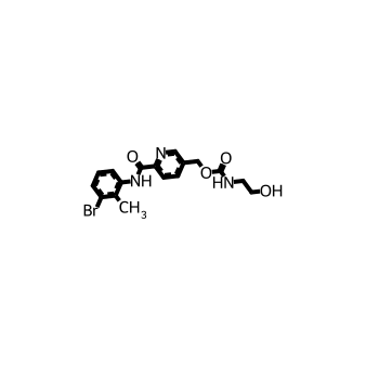 Cc1c(Br)cccc1NC(=O)c1ccc(COC(=O)NCCO)cn1